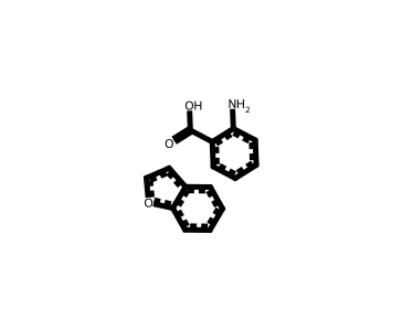 Nc1ccccc1C(=O)O.c1ccc2occc2c1